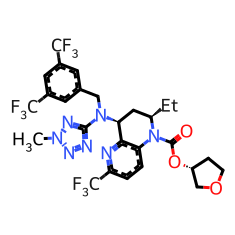 CC[C@@H]1C[C@H](N(Cc2cc(C(F)(F)F)cc(C(F)(F)F)c2)c2nnn(C)n2)c2nc(C(F)(F)F)ccc2N1C(=O)O[C@@H]1CCOC1